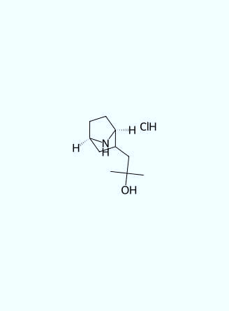 CC(C)(O)CC1C[C@H]2CC[C@@H]1N2.Cl